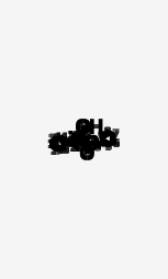 O=C(OCc1ccccc1)N1CC(c2ccccc2)=C[C@H]1CO